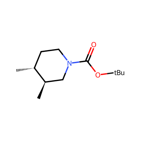 C[C@@H]1CCN(C(=O)OC(C)(C)C)C[C@H]1C